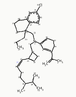 C=C(C)C1=CC(N(CC2CCC2/C=C\CCC(C)C(C)C)CC2(CCC)CCCc3cc(Cl)ccc32)=CCC1